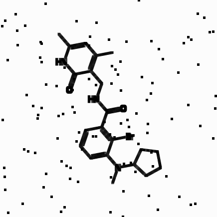 Cc1cc(C)c(CNC(=O)c2cccc(N(C)C3CCCC3)c2Br)c(=O)[nH]1